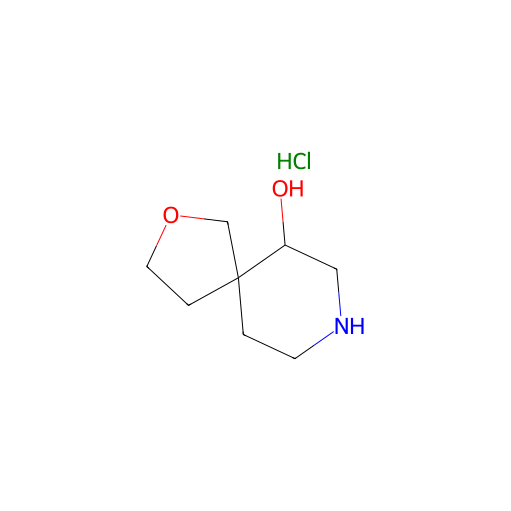 Cl.OC1CNCCC12CCOC2